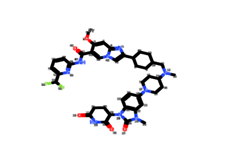 CC(C)Oc1cc2nc(C3CCC(CN(C)C4CCN(c5ccc6c(c5)n(C)c(=O)n6C5CCC(=O)NC5=O)CC4)CC3)cn2cc1C(=O)Nc1cccc(C(F)F)n1